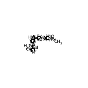 CCOC(=O)N1CCC2(CC1)CN(c1ccc(-c3n[nH]c4ccc(O[C@H](C)c5c(Cl)cncc5Cl)cc34)cn1)C2